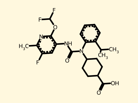 Cc1nc(OC(F)F)c(NC(=O)N(c2ccccc2C(C)C)C2CCC(C(=O)O)CC2)cc1F